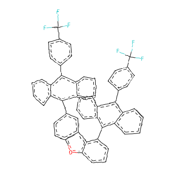 FC(F)(F)c1ccc(-c2c3ccccc3c(-c3ccc4oc5cccc(-c6c7ccccc7c(-c7ccc(C(F)(F)F)cc7)c7ccccc67)c5c4c3)c3ccccc23)cc1